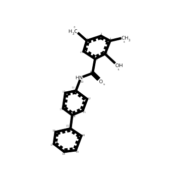 Cc1cc(C)c(O)c(C(=O)Nc2ccc(-c3ccccc3)cc2)c1